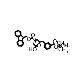 CC(C)(C)OC(=O)c1cccc(CCCN(CC(=O)O)C(=O)OCC2c3ccccc3-c3ccccc32)c1